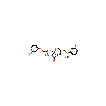 O=C(COc1cccc(Cl)c1)NC1C(=O)N2C(C(=O)O)=C(CSc3cccc(F)c3)CS[C@@H]12